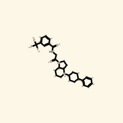 O=C(NCC(=O)N1CCC2C1CCCN2C1CCC(c2ccccc2)CC1)c1cccc(C(F)(F)F)c1